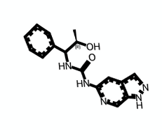 C[C@@H](O)C(NC(=O)Nc1cc2cn[nH]c2cn1)c1ccccc1